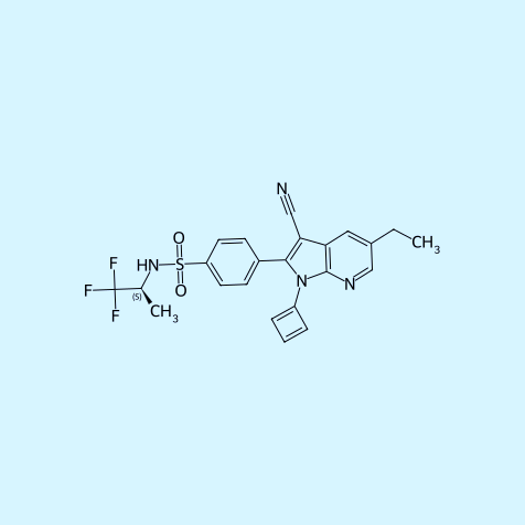 CCc1cnc2c(c1)c(C#N)c(-c1ccc(S(=O)(=O)N[C@@H](C)C(F)(F)F)cc1)n2C1=CC=C1